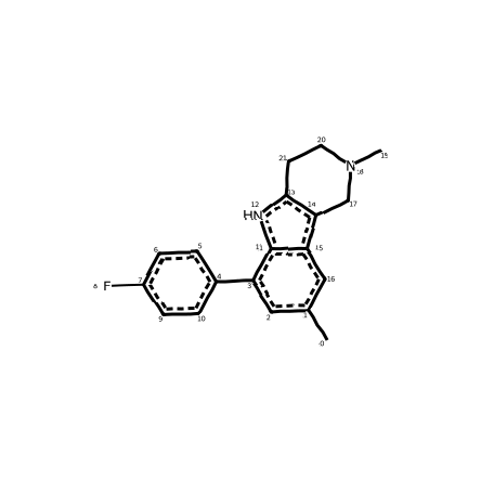 Cc1cc(-c2ccc(F)cc2)c2[nH]c3c(c2c1)CN(C)CC3